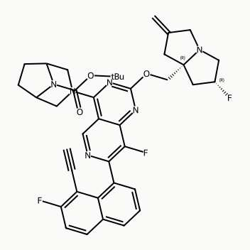 C#Cc1c(F)ccc2cccc(-c3ncc4c(N5CC6CCC(C5)N6C(=O)OC(C)(C)C)nc(OC[C@]56CC(=C)CN5C[C@H](F)C6)nc4c3F)c12